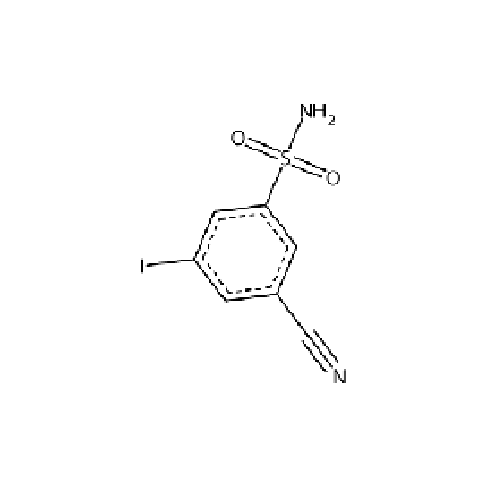 N#Cc1cc(I)cc(S(N)(=O)=O)c1